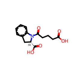 O=C(O)CCCC(=O)N1c2ccccc2C[C@H]1C(=O)O